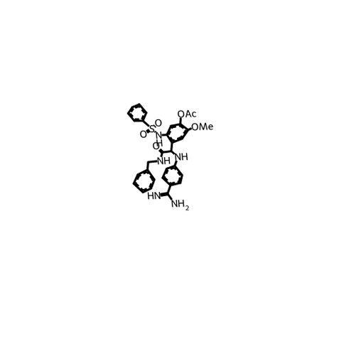 COc1cc(C(Nc2ccc(C(=N)N)cc2)C(=O)NCc2ccccc2)c(NS(=O)(=O)c2ccccc2)cc1OC(C)=O